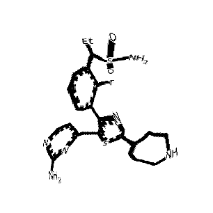 CCC(c1cccc(-c2nc(C3CCNCC3)sc2-c2ccnc(N)n2)c1F)S(N)(=O)=O